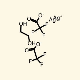 O=C([O-])C(F)(F)F.O=C([O-])C(F)(F)F.OCCO.[Ag+].[Ag+]